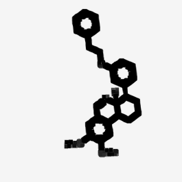 COc1cc2c(cc1OC)C1CCC[C@H](c3cccc(OCCc4ccccc4)c3)[C@H]1N=C2